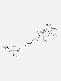 COC(=O)C(C)(C)CC(C)(C)C(=O)OCCOCCOC(C)(C)O[SiH3]